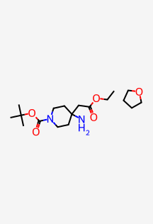 C1CCOC1.CCOC(=O)CC1(N)CCN(C(=O)OC(C)(C)C)CC1